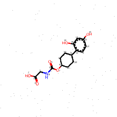 O=C(O)CNC(=O)OC1CCC(c2ccc(O)cc2O)CC1